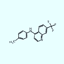 Cc1ccc(Nc2ccnc3cc(C(F)(F)F)ccc23)cc1